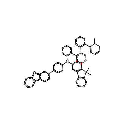 CC1CC=CC=C1c1ccccc1-c1ccccc1-c1ccccc1N(c1ccc(-c2ccc3c(c2)oc2ccccc23)cc1)c1ccc2c(c1)-c1ccccc1C2(C)C